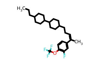 CCCC1CCC(C2CCC(CCC=C(C)c3ccc(OC(F)(F)F)c(F)c3)CC2)CC1